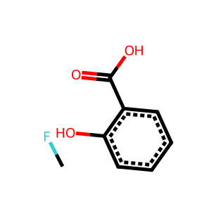 CF.O=C(O)c1ccccc1O